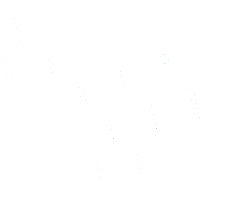 Cc1cccc(-c2cccc(-c3ccccc3-c3cc(C)cc(Cl)c3)c2)c1